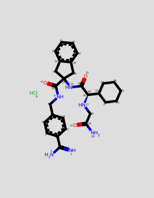 Cl.N=C(N)c1ccc(CNC(=O)C2(NC(=O)[C@H](NCC(N)=O)C3CCCCC3)Cc3ccccc3C2)cc1